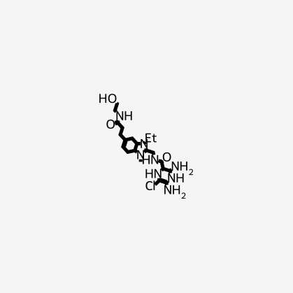 CCN1C2CC(CCC(=O)NCCO)=CCC2N(C)C1CNC(=O)C1NC(Cl)=C(N)NC1N